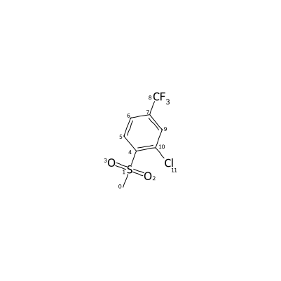 CS(=O)(=O)c1ccc(C(F)(F)F)cc1Cl